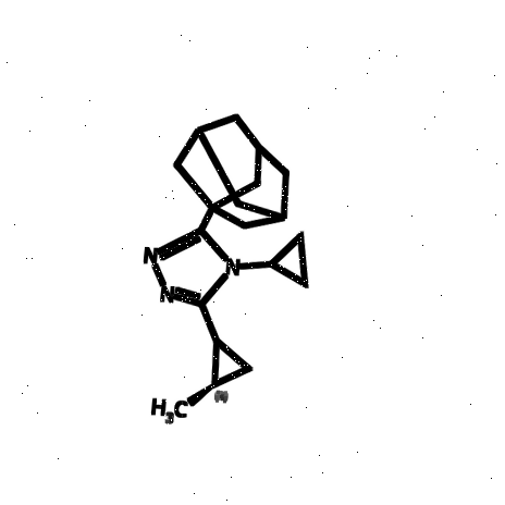 C[C@@H]1CC1c1nnc(C23CC4CC(CC(C4)C2)C3)n1C1CC1